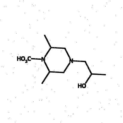 CC(O)CN1CC(C)N(C(=O)O)C(C)C1